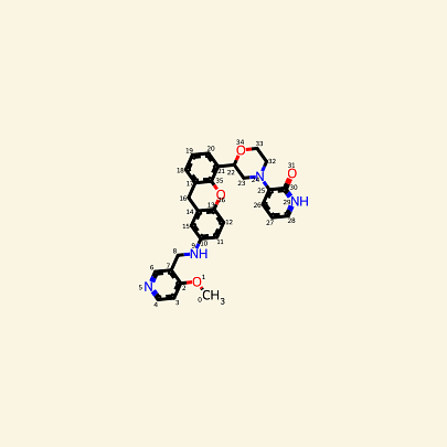 COc1ccncc1CNc1ccc2c(c1)Cc1cccc(C3CN(c4ccc[nH]c4=O)CCO3)c1O2